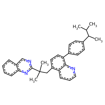 CC(C)C(C)c1ccc(-c2ccc(CC(C)(C)c3ncc4ccccc4n3)c3cccnc23)cc1